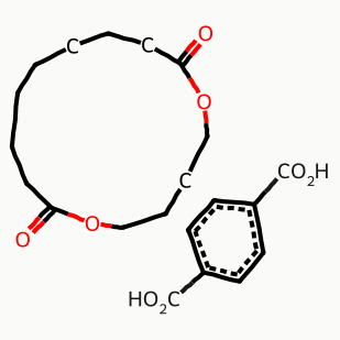 O=C(O)c1ccc(C(=O)O)cc1.O=C1CCCCCCCC(=O)OCCCCO1